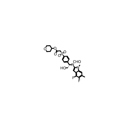 Cc1cc2c(cc(N(C=O)[C@H](CO)c3ccc(S(=O)(=O)CC(=O)OC4CCOCC4)cc3)n2C)c(F)c1F